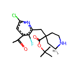 CC(=O)c1cc(Cl)nc(CC2(C(=O)OC(C)(C)C)CCN[C@H](C)C2)c1F